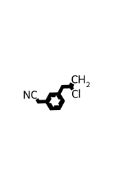 C=C(Cl)Cc1cccc(CC#N)c1